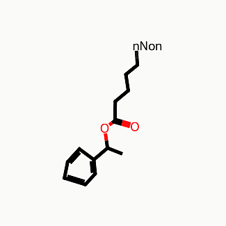 CCCCCCCCCCCCCC(=O)OC(C)c1ccccc1